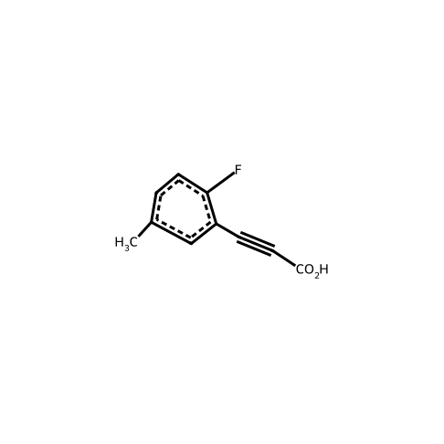 Cc1ccc(F)c(C#CC(=O)O)c1